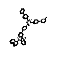 CC1C=CC=C(c2ccc(-c3nc(-c4ccc(-c5ccccc5)cc4)nc(-c4ccc(-c5ccc6nc(-c7cccc8ccccc78)c7c8ccccc8oc7c6c5)cc4)n3)cc2)C1